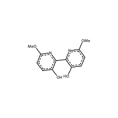 COc1ccc(O)c(-c2nc(OC)ccc2O)n1